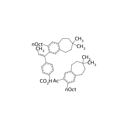 C/C=C(/c1ccc(C(=O)O)cc1)c1cc2c(cc1CCCCCCCC)CCC(C)(C)CC2.CCCCCCCCc1cc2c(cc1C(C)=O)CCC(C)(C)CC2